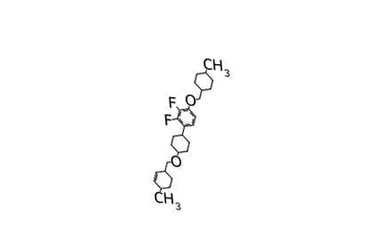 CC1C=CC(COC2CCC(c3ccc(OCC4CCC(C)CC4)c(F)c3F)CC2)CC1